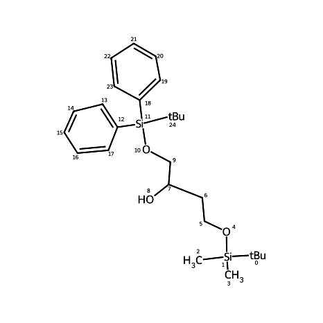 CC(C)(C)[Si](C)(C)OCCC(O)CO[Si](c1ccccc1)(c1ccccc1)C(C)(C)C